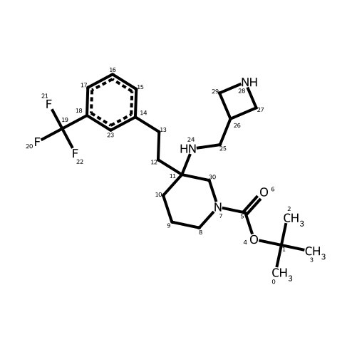 CC(C)(C)OC(=O)N1CCCC(CCc2cccc(C(F)(F)F)c2)(NCC2CNC2)C1